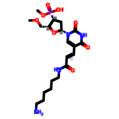 COC[C@H]1O[C@@H](n2cc(/C=C/C(=O)NCCCCCCN)c(=O)[nH]c2=O)C[C@H]1P(=O)(O)OC